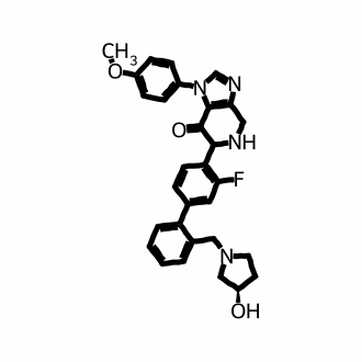 COc1ccc(-n2cnc3c2C(=O)C(c2ccc(-c4ccccc4CN4CC[C@@H](O)C4)cc2F)NC3)cc1